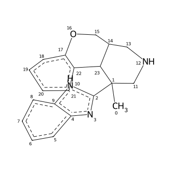 CC1(c2nc3ccccc3[nH]2)CNCC2COc3ccccc3C21